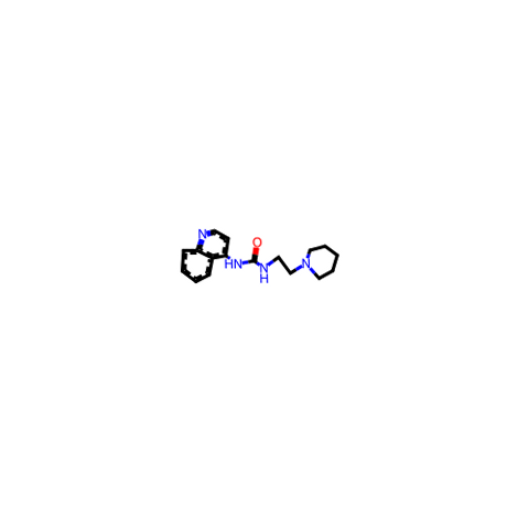 O=C(NCCN1CCCCC1)Nc1ccnc2ccccc12